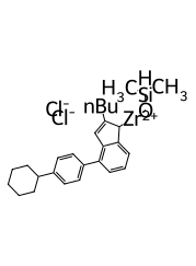 CCCCC1=Cc2c(-c3ccc(C4CCCCC4)cc3)cccc2[CH]1[Zr+2][O][SiH](C)C.[Cl-].[Cl-]